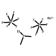 CCP(C)C.F[P-](F)(F)(F)(F)F.F[P-](F)(F)(F)(F)F.[Re+2]